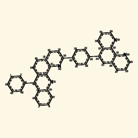 c1ccc(-c2c3ccccc3nc3c2ccc2ccc(-c4ccc(-c5cc6cccnc6c6ncccc56)cc4)nc23)cc1